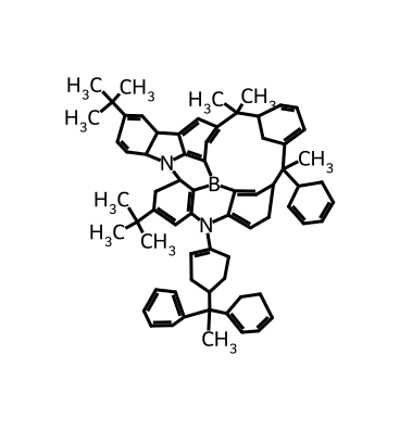 CC(C)(C)C1=CC2c3cc4cc5c3N(C3CC(C(C)(C)C)=CC6=C3B5C3=CC(CC=C3N6C3=CCC(C(C)(C5=CC=CCC5)c5ccccc5)CC3)C(C)(C3C=CC=CC3)C3=CC=CC(C3)C4(C)C)C2C=C1